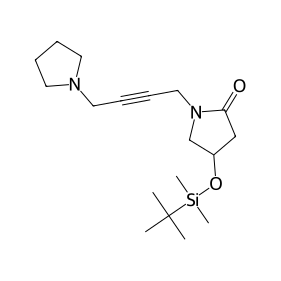 CC(C)(C)[Si](C)(C)OC1CC(=O)N(CC#CCN2CCCC2)C1